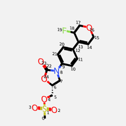 CS(=O)(=O)OC[C@H]1CN(c2ccc(C3=CCOCC3F)cc2)C(=O)O1